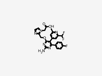 Cc1cc(-c2c(OCc3nccn3CC(=O)O)nc(N)nc2-c2ccc(F)cc2)cc(C(F)F)n1